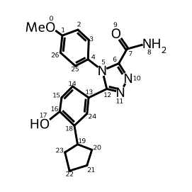 COc1ccc(-n2c(C(N)=O)nnc2-c2ccc(O)c(C3CCCC3)c2)cc1